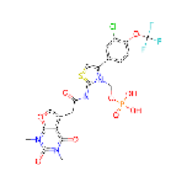 Cc1oc2c(c1CC(=O)N=c1scc(-c3ccc(OC(F)(F)F)c(Cl)c3)n1COP(=O)(O)O)c(=O)n(C)c(=O)n2C